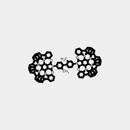 Cc1cc(N2C(=O)c3c(c(-n4c5ccccc5c5ccccc54)c(-n4c5ccccc5c5ccccc54)c(-n4c5ccccc5c5ccccc54)c3-n3c4ccccc4c4ccccc43)C2=O)ccc1-c1ccc(N2C(=O)c3c(c(-n4c5ccccc5c5ccccc54)c(-n4c5ccccc5c5ccccc54)c(-n4c5ccccc5c5ccccc54)c3-n3c4ccccc4c4ccccc43)C2=O)cc1C